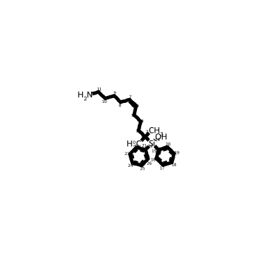 CC(C)(CCC/C=C\CCCCN)[Si](O)(c1ccccc1)c1ccccc1